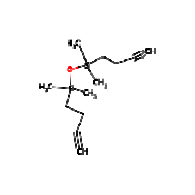 C#CCC[Si](C)(C)O[Si](C)(C)CCC#C